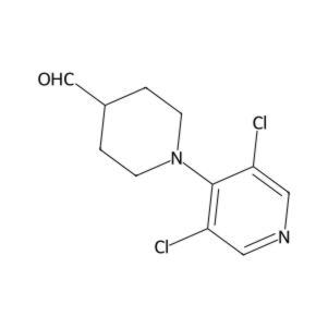 O=CC1CCN(c2c(Cl)cncc2Cl)CC1